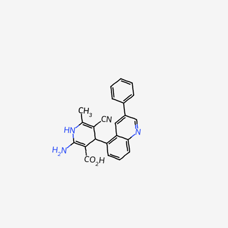 CC1=C(C#N)C(c2cccc3ncc(-c4ccccc4)cc23)C(C(=O)O)=C(N)N1